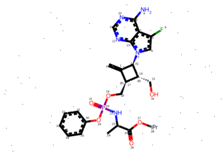 C=C1[C@@H](n2cc(F)c3c(N)ncnc32)[C@H](CO)[C@H]1COP(=O)(NC(C)C(=O)OC(C)C)Oc1ccccc1